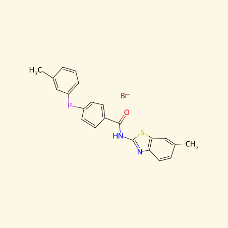 Cc1cccc([I+]c2ccc(C(=O)Nc3nc4ccc(C)cc4s3)cc2)c1.[Br-]